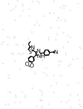 CCc1csc(-c2nc(-c3ccc(C#N)cc3)[nH]c2-c2ccc3c(c2)OCO3)n1